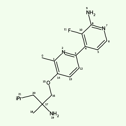 Cc1nc(-c2ccnc(N)c2F)ccc1OCC(C)(N)CC(C)C